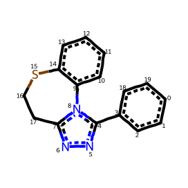 c1ccc(-c2nnc3n2-c2ccccc2SCC3)cc1